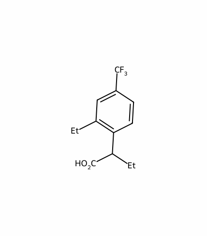 CCc1cc(C(F)(F)F)ccc1C(CC)C(=O)O